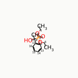 CCOP(=O)(OCC)C(C)(O)c1ccccc1